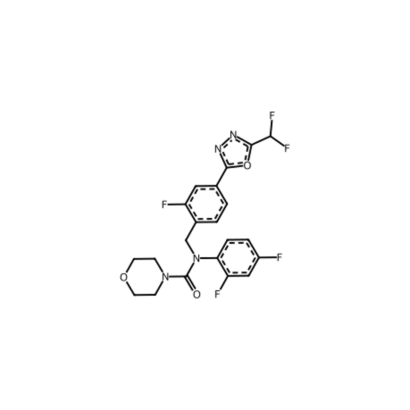 O=C(N1CCOCC1)N(Cc1ccc(-c2nnc(C(F)F)o2)cc1F)c1ccc(F)cc1F